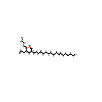 CCCCCCCCCCCCCCCCCCC([C]=O)CC(CCC)CCCCC